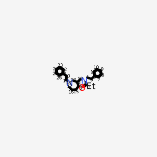 CCC(=O)N(CCc1ccccc1)CC1CCCCN(CCc2ccccc2)C1